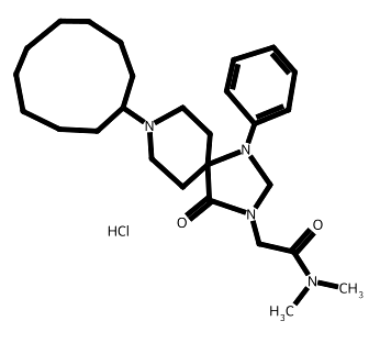 CN(C)C(=O)CN1CN(c2ccccc2)C2(CCN(C3CCCCCCCCC3)CC2)C1=O.Cl